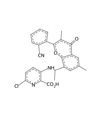 Cc1cc(C(C)Nc2ccc(Cl)nc2C(=O)O)c2oc(-c3ccccc3C#N)c(C)c(=O)c2c1